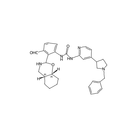 O=Cc1cccc(NC(=O)Nc2cc(C3CCN(Cc4ccccc4)C3)ccn2)c1C1NC[C@H]2CCCC[C@H]2O1